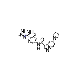 CN(N)/N=C(\N)c1ccc(NC(=O)c2cnn3ccc(N4CCCC4)cc23)cn1